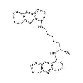 CC(CCCCCNc1cccc2nc3ccccc3cc12)Nc1cccc2nc3ccccc3cc12